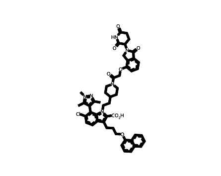 Cc1nn(C)c(C)c1-c1c(Cl)ccc2c(CCCOc3cccc4ccccc34)c(C(=O)O)n(CCC3CCN(C(=O)COc4cccc5c4CN(C4CCC(=O)NC4=O)C5=O)CC3)c12